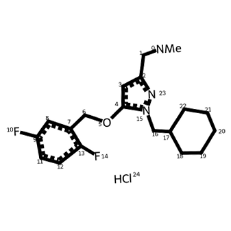 CNCc1cc(OCc2cc(F)ccc2F)n(CC2CCCCC2)n1.Cl